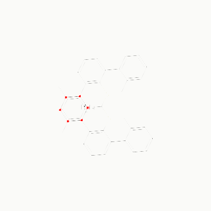 Cc1ccccc1-c1cccc(-c2ccccc2C)c1S[CH]([BiH2])Sc1c(-c2ccccc2C)cccc1-c1ccccc1C